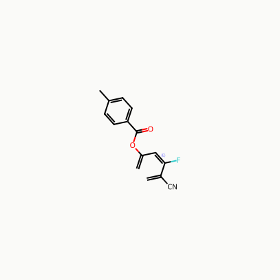 C=C(/C=C(/F)C(=C)C#N)OC(=O)c1ccc(C)cc1